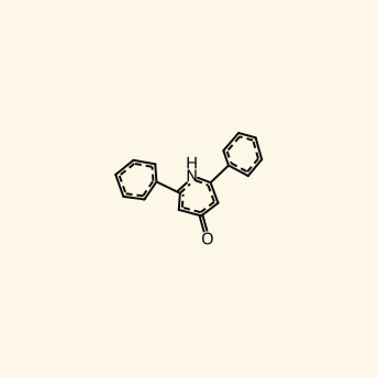 O=c1cc(-c2ccccc2)[nH]c(-c2ccccc2)c1